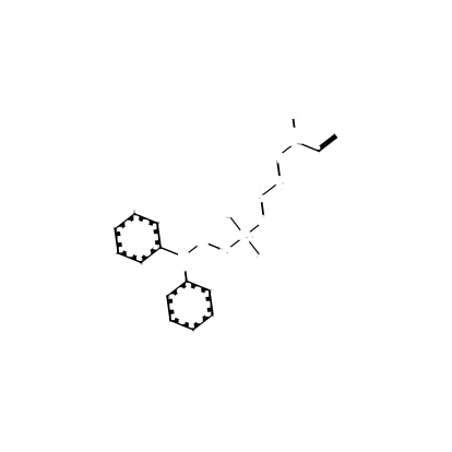 C=C[SiH](C)O[SiH2][SiH2]O[Si](C)(C)[SiH2]O[SiH](c1ccccc1)c1ccccc1